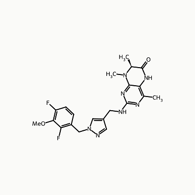 COc1c(F)ccc(Cn2cc(CNc3nc(C)c4c(n3)N(C)[C@@H](C)C(=O)N4)cn2)c1F